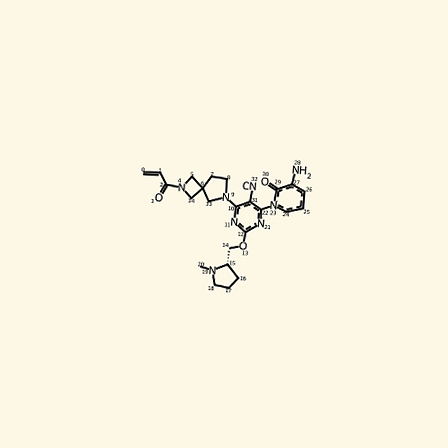 C=CC(=O)N1CC2(CCN(c3nc(OC[C@@H]4CCCN4C)nc(-n4cccc(N)c4=O)c3C#N)C2)C1